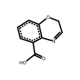 O=C(O)c1cccc2c1N=CCO2